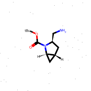 CC(C)(C)OC(=O)N1[C@@H](CN)C[C@@H]2C[C@H]21